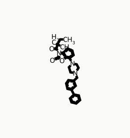 CCC(C)(C)C(=O)n1c(=O)oc2c(N3CCN(Cc4cccc(-c5ccccc5)c4)CC3)cccc21